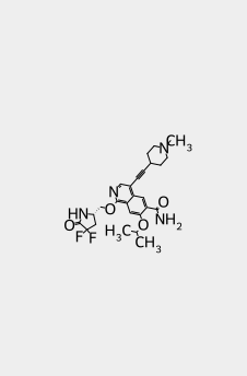 CC(C)Oc1cc2c(OC[C@@H]3CC(F)(F)C(=O)N3)ncc(C#CC3CCN(C)CC3)c2cc1C(N)=O